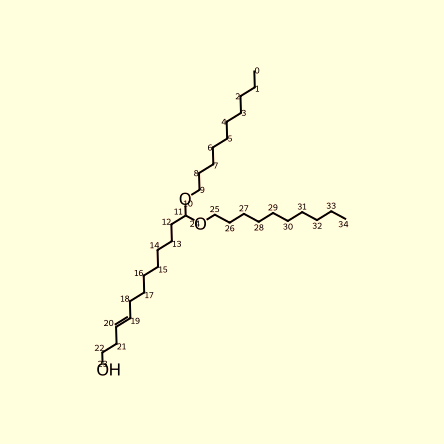 CCCCCCCCCCOC(CCCCCCC/C=C/CCO)OCCCCCCCCCC